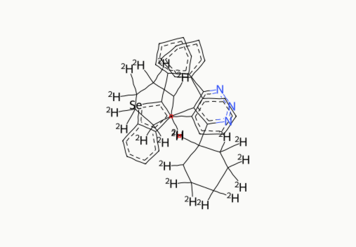 [2H]C1C([2H])([2H])C([2H])([2H])C([2H])([2H])C([2H])([2H])C1([2H])c1nnnc(-c2ccccc2-c2[se]c3ccccc3c2-c2ccccc2-c2ccccc2)c1C1([2H])C([2H])C([2H])([2H])C([2H])([2H])C([2H])([2H])C1([2H])[2H]